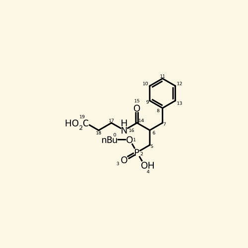 CCCCOP(=O)(O)CC(Cc1ccccc1)C(=O)NCCC(=O)O